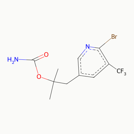 CC(C)(Cc1cnc(Br)c(C(F)(F)F)c1)OC(N)=O